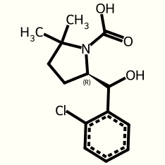 CC1(C)CC[C@H](C(O)c2ccccc2Cl)N1C(=O)O